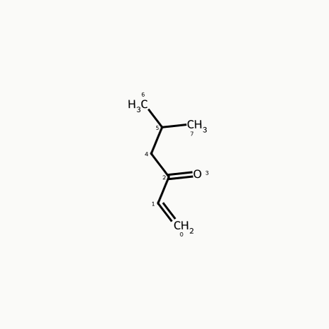 C=CC(=O)CC(C)C